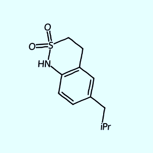 CC(C)Cc1ccc2c(c1)CCS(=O)(=O)N2